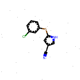 N#Cc1c[nH]c(Sc2cccc(Cl)c2)c1